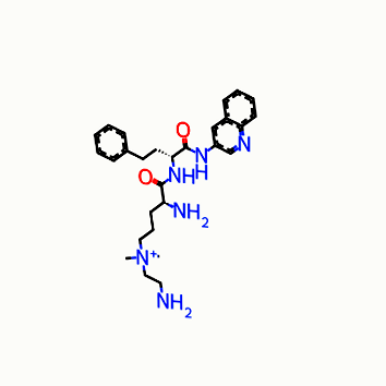 C[N+](C)(CCN)CCC[C@H](N)C(=O)N[C@H](CCc1ccccc1)C(=O)Nc1cnc2ccccc2c1